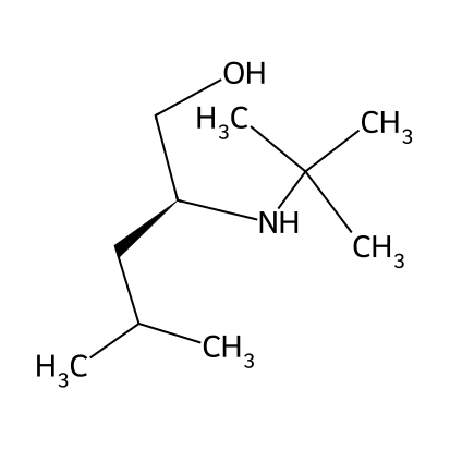 CC(C)C[C@@H](CO)NC(C)(C)C